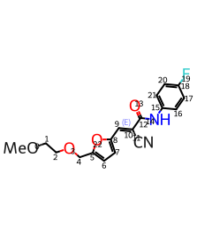 COCCOCc1ccc(/C=C(\C#N)C(=O)Nc2ccc(F)cc2)o1